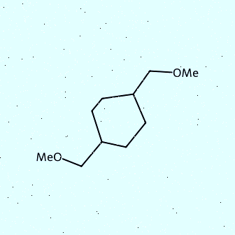 COCC1CCC(COC)CC1